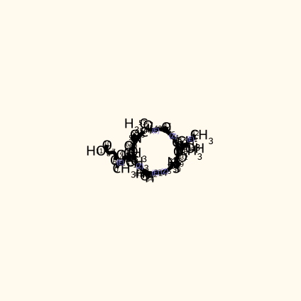 C/C=C/[C@H](OC(=O)CCC(=O)O)C(C)(C)[C@@H]1C/C=C\[C@H]2O[C@H]2/C=C/C=C\c2nc(cs2)C(=O)O[C@H](C(C)(C)[C@@H](O)/C=C/C)C/C=C\C2OC2/C=C/[C@H](OC)Cc2nc(co2)C(=O)O1